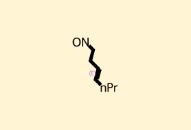 CCC/C=C/CCN=O